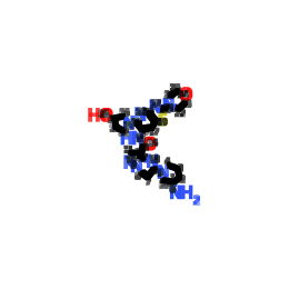 NC1CCCN(c2ccn3ncc(C(=O)Nc4cc5sc(N6CCOCC6)nc5nc4N4CC[C@@H](O)C4)c3n2)C1